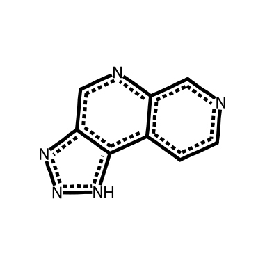 c1cc2c(cn1)ncc1nn[nH]c12